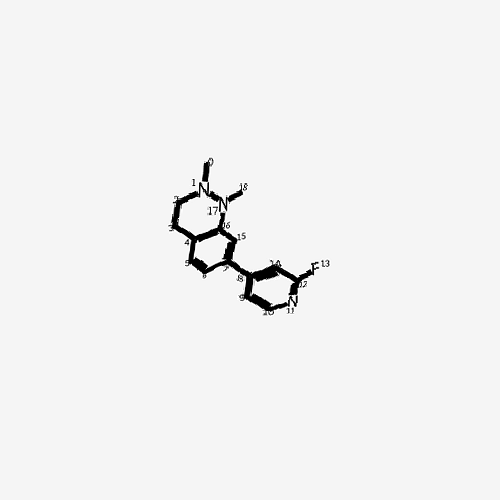 CN1CCc2ccc(-c3ccnc(F)c3)cc2N1C